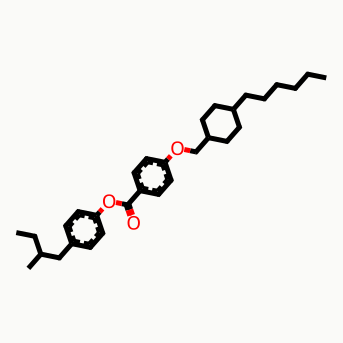 CCCCCCC1CCC(COc2ccc(C(=O)Oc3ccc(CC(C)CC)cc3)cc2)CC1